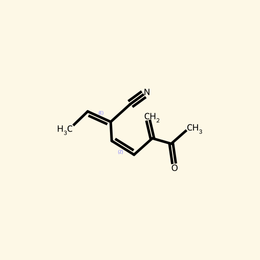 C=C(/C=C\C(C#N)=C/C)C(C)=O